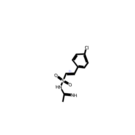 CC(=N)NS(=O)(=O)/C=C/c1ccc(Cl)cc1